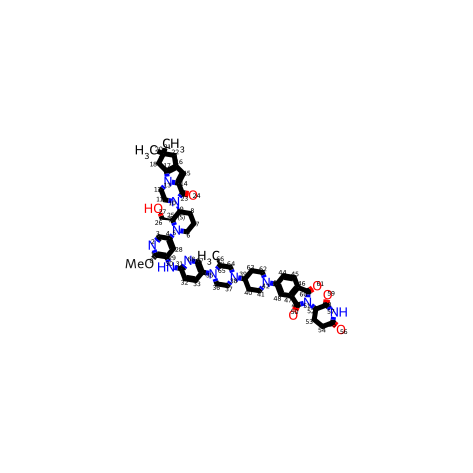 COc1ncc(N2CCC[C@H](N3CCn4c(cc5c4CC(C)(C)C5)C3=O)[C@@H]2CO)cc1Nc1ccc(N2CCN(C3CCN(c4ccc5c(c4)C(=O)N(C4CCC(=O)NC4=O)C5=O)CC3)C[C@@H]2C)cn1